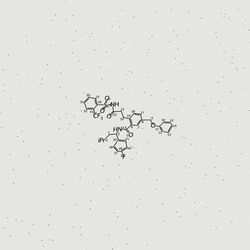 CC(C)CC(NC(=O)c1cc(COc2ccccc2)ccc1CCC(=O)NS(=O)(=O)c1ccccc1C(F)(F)F)c1ccc(F)cc1